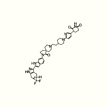 CC12Cc3[nH]nc(-c4cc5ccc(N6CCC7(CCN(CCC8CCN(c9ccc(C%10CCC(=O)NC%10=O)cn9)CC8)CC7)C6=O)cc5[nH]4)c3C[C@@H]1C2(F)F